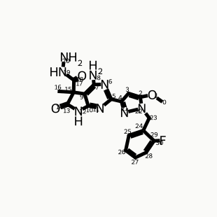 COc1cc(-c2nc(N)c3c(n2)NC(=O)C3(C)C(=O)NN)nn1Cc1ccccc1F